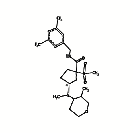 CC1COCCC1N(C)[C@@H]1CCC(C(=O)NCc2cc(C(F)(F)F)cc(C(F)(F)F)c2)(S(C)(=O)=O)C1